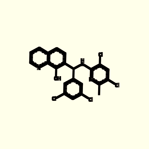 Cc1nc(NC(c2cc(Cl)cc(Cl)c2)c2ccc3cccnc3c2O)c(Cl)cc1Cl